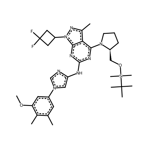 COc1cc(-n2cnc(Nc3nc(N4CCC[C@H]4CO[Si](C)(C)C(C)(C)C)c4c(C)nn(C5CC(F)(F)C5)c4n3)c2)cc(C)c1C